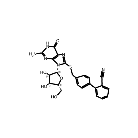 N#Cc1ccccc1-c1ccc(CSc2nc3c(=O)[nH]c(N)nc3n2[C@@H]2O[C@H](CO)[C@@H](O)[C@H]2O)cc1